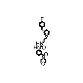 O=C(NCCCN1CCC[C@@H](Cc2ccc(F)cc2)C1)Nc1cccc(C(=O)N2CCOCC2)c1